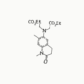 CCOC(=O)CN(CC(=O)OCC)c1cc2c(cc1C)N(C)C(=O)CC2